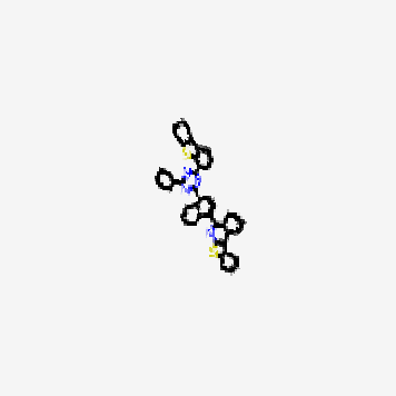 c1ccc(-c2nc(-c3ccc(-c4nc5sc6ccccc6c5c5ccccc45)c4ccccc34)nc(-c3cccc4c3sc3ccccc34)n2)cc1